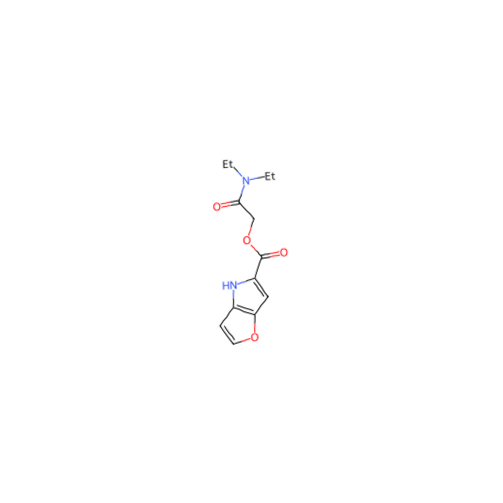 CCN(CC)C(=O)COC(=O)c1cc2occc2[nH]1